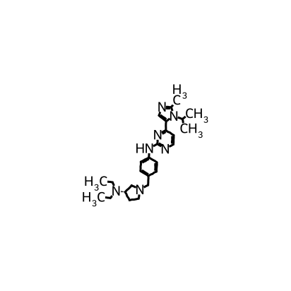 CCN(CC)[C@H]1CCN(Cc2ccc(Nc3nccc(-c4cnc(C)n4C(C)C)n3)cc2)C1